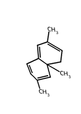 CC1=CCC2(C)C=C(C)C=CC2=C1